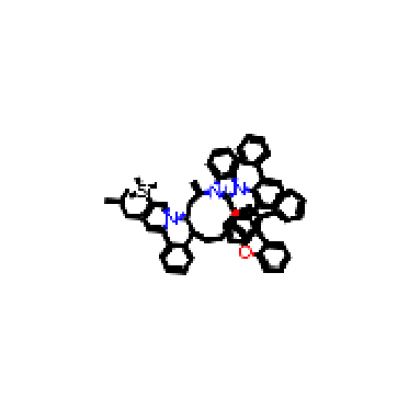 C=C1CC2C(CCc3c(cc(-c4ccccc4)c4c3oc3ccccc34)-c3n(-c4c(-c5ccccc5)cccc4-c4ccccc4)c4ccccc4[n+]31)c1ccccc1-c1cc(CC(C)C)c([Si](C)(C)C)c[n+]12